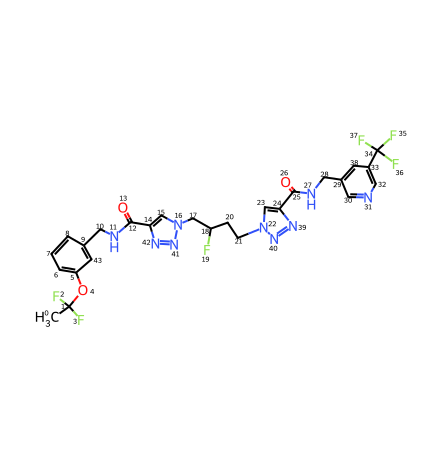 CC(F)(F)Oc1cccc(CNC(=O)c2cn(CC(F)CCn3cc(C(=O)NCc4cncc(C(F)(F)F)c4)nn3)nn2)c1